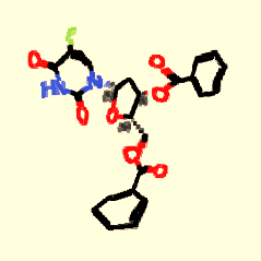 O=C(OC[C@@H]1O[C@H](n2cc(F)c(=O)[nH]c2=O)C[C@@H]1OC(=O)c1ccccc1)c1ccccc1